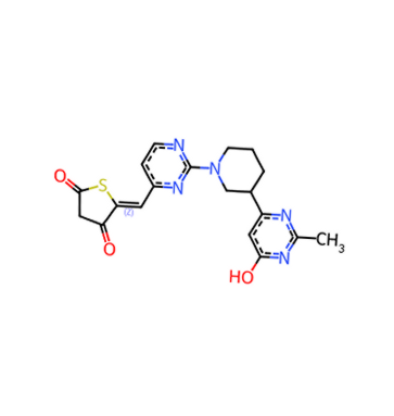 Cc1nc(O)cc(C2CCCN(c3nccc(/C=C4\SC(=O)CC4=O)n3)C2)n1